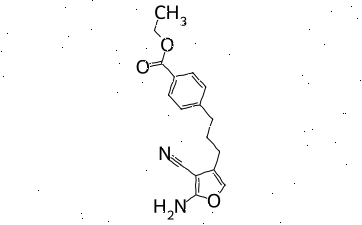 CCOC(=O)c1ccc(CCCc2coc(N)c2C#N)cc1